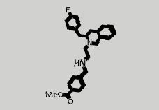 COC(=O)c1ccc(CNCCN2Cc3ccccc3CC2Cc2ccc(F)cc2)cc1